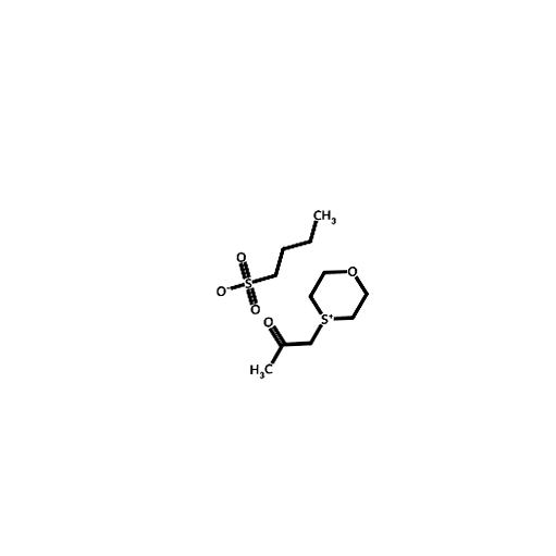 CC(=O)C[S+]1CCOCC1.CCCCS(=O)(=O)[O-]